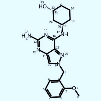 COc1ccccc1Cn1cc2nc(N)nc(N[C@@H]3CCC[C@@H](O)C3)c2n1